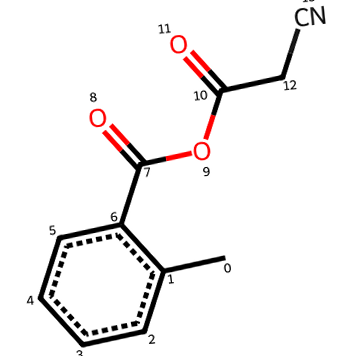 Cc1ccccc1C(=O)OC(=O)CC#N